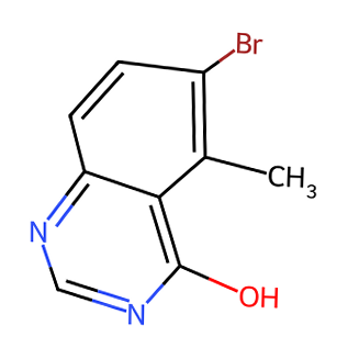 Cc1c(Br)ccc2ncnc(O)c12